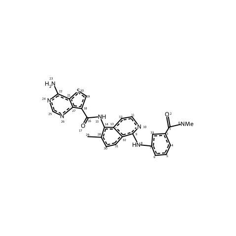 CNC(=O)c1cccc(Nc2nccc3c(NC(=O)c4csc5c(N)ncnc45)c(C)ccc23)c1